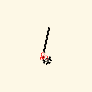 CCCCCCCCCCCCOC(=O)O[Si](C(C)C)(C(C)C)C(C)C